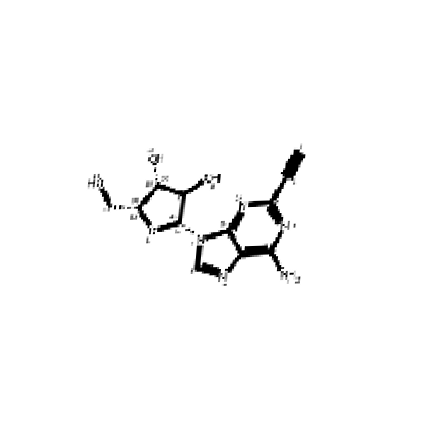 C#Cc1nc(N)c2ncn([C@@H]3O[C@H](CO)[C@H](O)C3O)c2n1